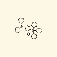 c1ccc(N(c2ccccc2)c2ccc3c(c2)Oc2ccccc2S3(c2ccccc2)c2ccccc2)cc1